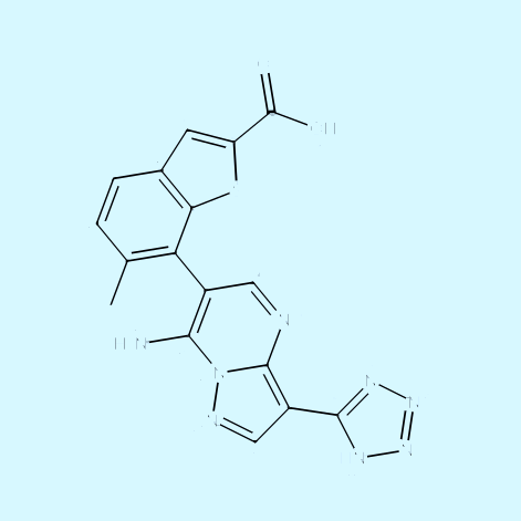 Cc1ccc2cc(C(=O)O)sc2c1-c1cnc2c(-c3nnn[nH]3)cnn2c1N